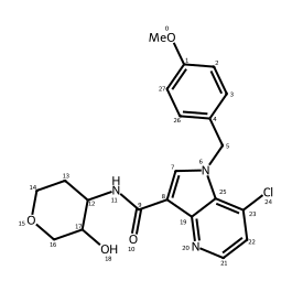 COc1ccc(Cn2cc(C(=O)NC3CCOCC3O)c3nccc(Cl)c32)cc1